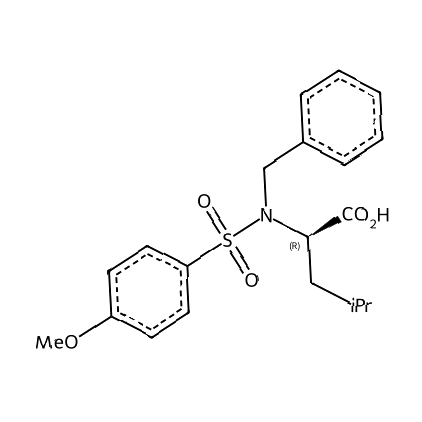 COc1ccc(S(=O)(=O)N(Cc2ccccc2)[C@H](CC(C)C)C(=O)O)cc1